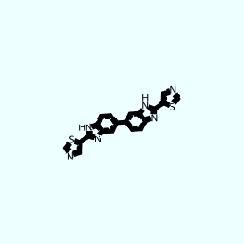 c1ncc(-c2nc3cc(-c4ccc5nc(-c6cncs6)[nH]c5c4)ccc3[nH]2)s1